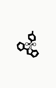 Cc1ccc(S(=O)(=O)n2c(-c3ccccc3)cc3ccccc32)cc1